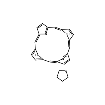 C1=Cc2cc3ccc(cc4nc(cc5ccc(cc1n2)[nH]5)C=C4)[nH]3.C1CCOC1